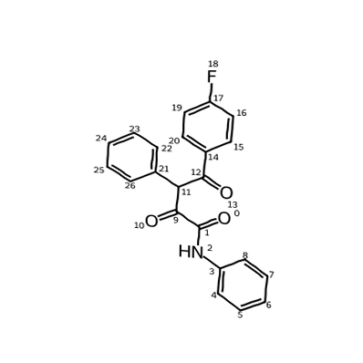 O=C(Nc1ccccc1)C(=O)C(C(=O)c1ccc(F)cc1)c1ccccc1